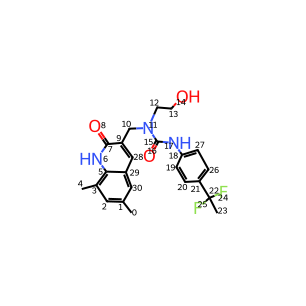 Cc1cc(C)c2[nH]c(=O)c(CN(CCO)C(=O)Nc3ccc(C(C)(F)F)cc3)cc2c1